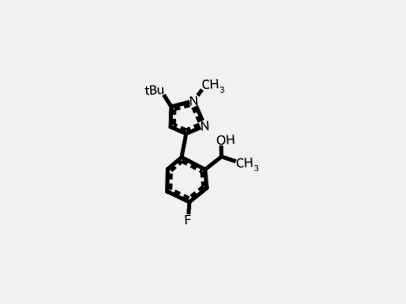 CC(O)c1cc(F)ccc1-c1cc(C(C)(C)C)n(C)n1